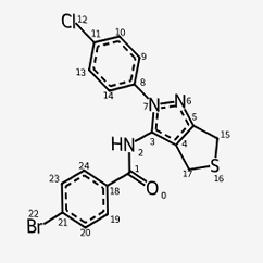 O=C(Nc1c2c(nn1-c1ccc(Cl)cc1)CSC2)c1ccc(Br)cc1